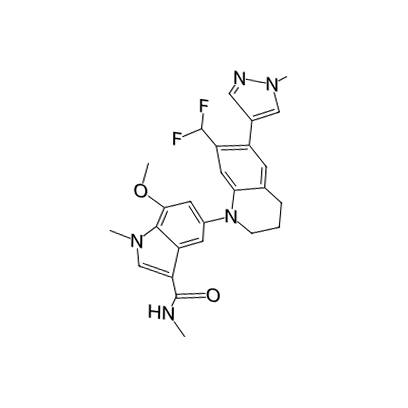 CNC(=O)c1cn(C)c2c(OC)cc(N3CCCc4cc(-c5cnn(C)c5)c(C(F)F)cc43)cc12